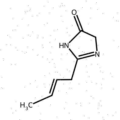 CC=CCC1=NCC(=O)N1